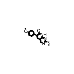 COc1ccc(-c2cc3cnc(SC)nc3[nH]c2=O)cc1